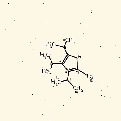 CC(C)C1=C(C(C)C)C(C(C)C)=[C]([La])C1